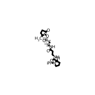 [2H]C1(C(=O)NCCC(=O)[15NH][13CH2][13CH2][13C](=O)ON2C(=C)CCC2=O)CCCN1C([13CH3])[13CH3]